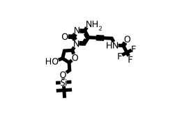 CC(C)(C)[Si](C)(C)OCC1OC(n2cc(C#CCNC(=O)C(F)(F)F)c(N)nc2=O)CC1O